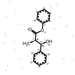 C[C@@H](C(=O)Oc1ccccc1)[C@@H](O)c1ccccc1